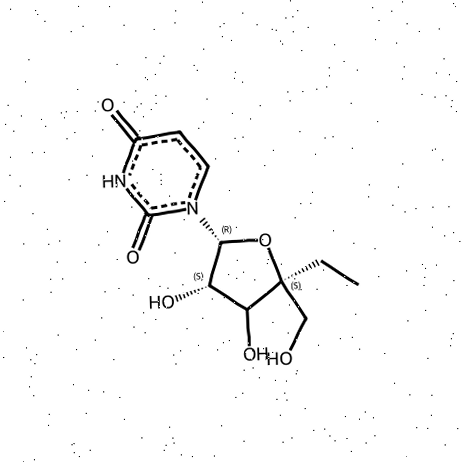 CC[C@@]1(CO)O[C@@H](n2ccc(=O)[nH]c2=O)[C@@H](O)C1O